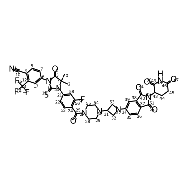 CC1(C)C(=O)N(c2ccc(C#N)c(C(F)(F)F)c2)C(=S)N1c1ccc(C(=O)N2CCN(C3CN(c4ccc5c(c4)C(=O)N(C4CCC(=O)NC4=O)C5=O)C3)CC2)c(F)c1